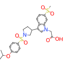 CC(C)Oc1ccc(S(=O)(=O)N2CCC(c3cn(CC(=O)O)c4cc(S(C)(=O)=O)ccc34)C2)cc1